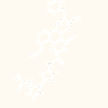 COc1cccc(OC)c1-c1cc(C(=O)Nc2nnc(-n3nccc3NC(C)=O)s2)oc(=O)c1OC[C@H](C)OCc1ccccc1